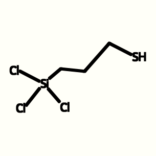 SCCC[Si](Cl)(Cl)Cl